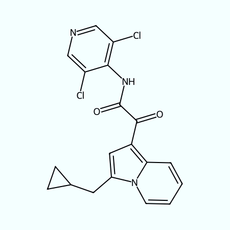 O=C(Nc1c(Cl)cncc1Cl)C(=O)c1cc(CC2CC2)n2ccccc12